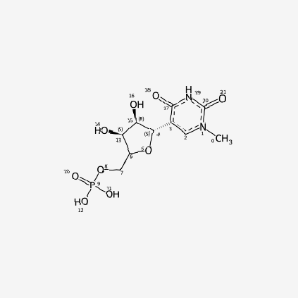 Cn1cc([C@@H]2OC(COP(=O)(O)O)[C@@H](O)[C@H]2O)c(=O)[nH]c1=O